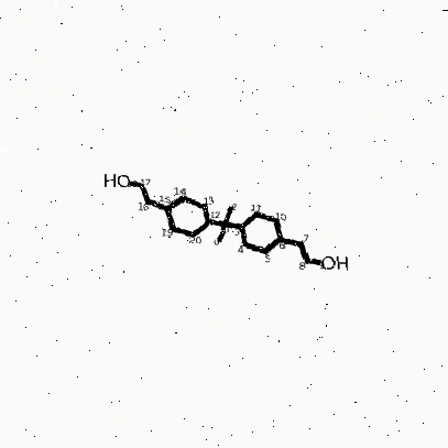 CC(C)(C1CCC(CCO)CC1)C1CCC(CCO)CC1